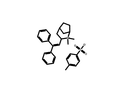 C[N+]1(C)C(C=C(c2ccccc2)c2ccccc2)CC2CCC1C2.Cc1ccc(S(=O)(=O)[O-])cc1